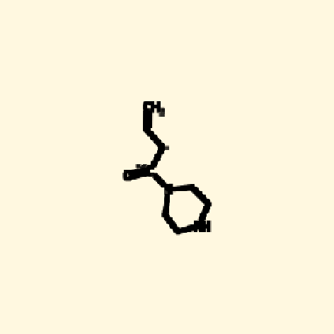 C=C[CH][14C](=O)N1CCNCC1